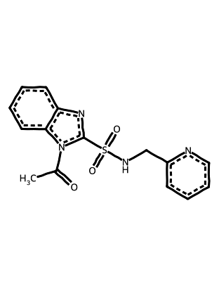 CC(=O)n1c(S(=O)(=O)NCc2ccccn2)nc2ccccc21